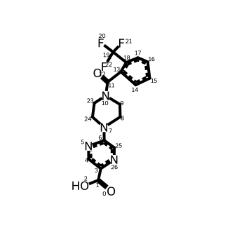 O=C(O)c1cnc(N2CCN(C(=O)c3ccccc3C(F)(F)F)CC2)cn1